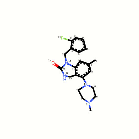 Cc1cc(N2CCN(C)CC2)c2c(c1)N(Cc1ccccc1F)C(=O)NC2